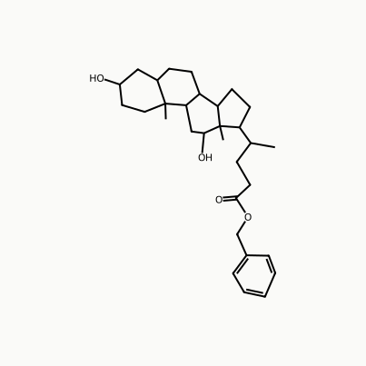 CC(CCC(=O)OCc1ccccc1)C1CCC2C3CCC4CC(O)CCC4(C)C3CC(O)C12C